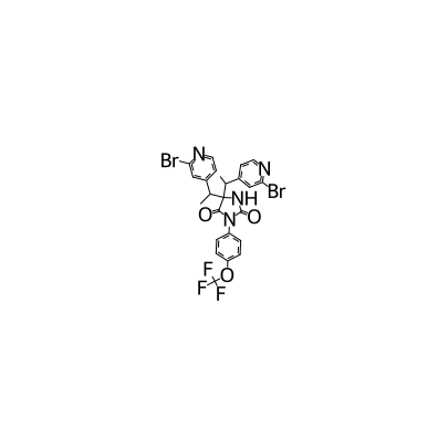 CC(c1ccnc(Br)c1)C1(C(C)c2ccnc(Br)c2)NC(=O)N(c2ccc(OC(F)(F)F)cc2)C1=O